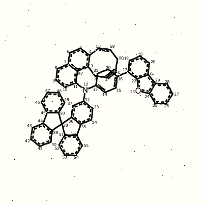 C1#CCc2c(ccc3cccc(N(C4=CC=C(c5cccc6c5oc5ccccc56)CC4)c4ccc5c(c4)C4(c6ccccc6-c6ccccc64)c4ccccc4-5)c23)/C=C\C1